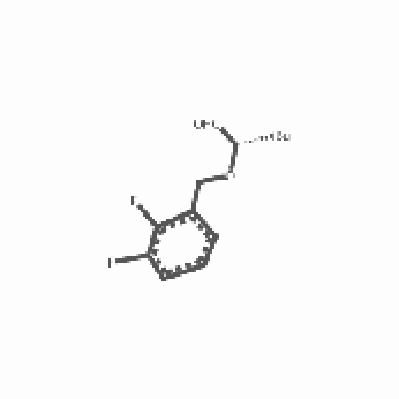 CCC(C)[C@@H](C=O)OCc1cccc(F)c1F